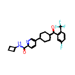 O=C(NC1CCC1)c1ccc(C2CCC(C(=O)c3cc(F)ccc3C(F)(F)F)CC2)cn1